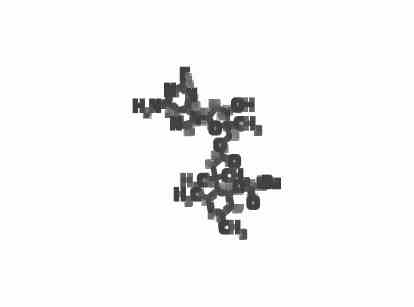 Cc1cc(C)c(C(C)(C)CC(=O)OC[C@@]2(C)O[C@@H](n3cnc4c(N)nc(F)nc43)C[C@@H]2O)c(OC(=O)C(C)(C)C)c1